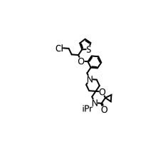 CC(C)N1CC2(CCN(Cc3ccccc3OC(CCCl)c3cccs3)CC2)OC2(CC2)C1=O